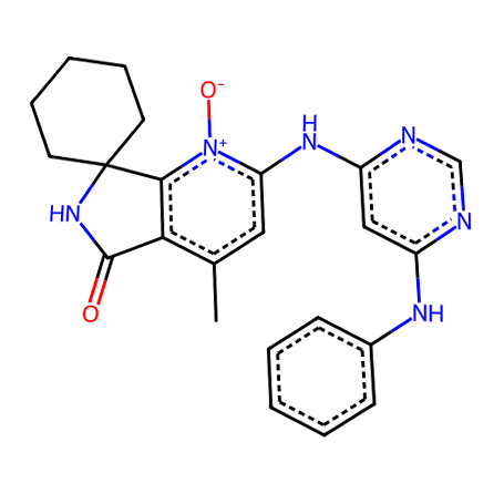 Cc1cc(Nc2cc(Nc3ccccc3)ncn2)[n+]([O-])c2c1C(=O)NC21CCCCC1